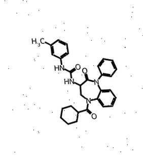 Cc1cccc(NC(=O)NC2CN(C(=O)C3CCCCC3)c3ccccc3N(c3ccccc3)C2=O)c1